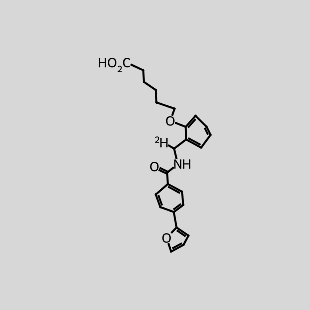 [2H]C(NC(=O)c1ccc(-c2ccco2)cc1)c1ccccc1OCCCCCC(=O)O